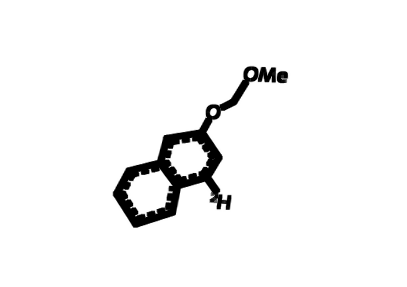 [2H]c1cc(OCOC)cc2ccccc12